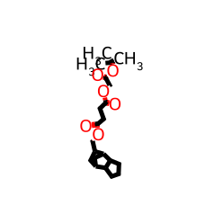 CC(C)(C)OC(=O)COC(=O)CCC(=O)OCC1CC2CC1C1CCCC21